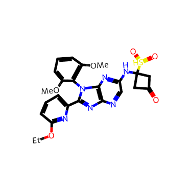 CCOc1cccc(-c2nc3ncc(NC4([SH](=O)=O)CC(=O)C4)nc3n2-c2c(OC)cccc2OC)n1